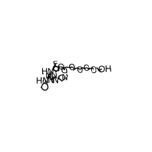 CN1CCC(N(C)c2nc(Nc3ccc(OC(=O)CCOCCOCCOCCOCCO)c(F)c3)nc(NC3CCCCCC3)n2)CC1